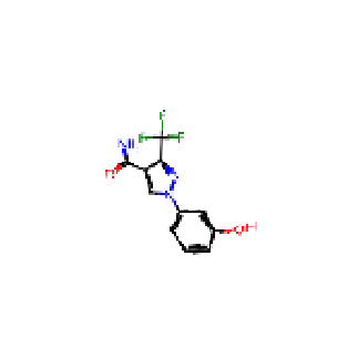 NC(=O)c1cn(-c2cccc(O)c2)nc1C(F)(F)F